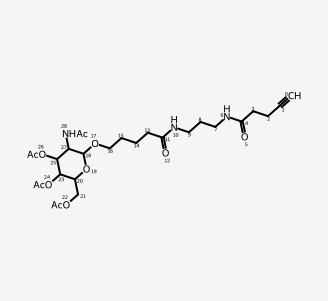 C#CCCC(=O)NCCCNC(=O)CCCCOC1OC(COC(C)=O)C(OC(C)=O)C(OC(C)=O)C1NC(C)=O